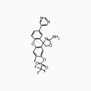 NC1=NC2(CO1)c1cc(-c3cncnc3)ccc1Oc1cc(F)c(OS(=O)(=O)C(F)(F)F)cc12